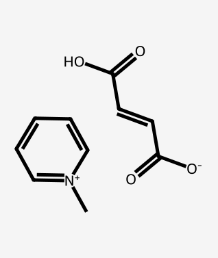 C[n+]1ccccc1.O=C([O-])C=CC(=O)O